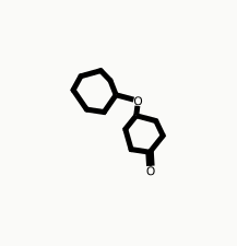 O=C1CCC(OC2CCCCCC2)CC1